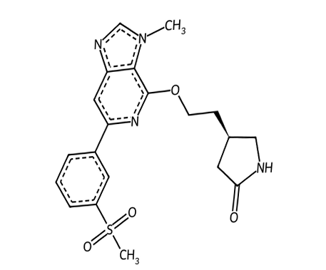 Cn1cnc2cc(-c3cccc(S(C)(=O)=O)c3)nc(OCC[C@H]3CNC(=O)C3)c21